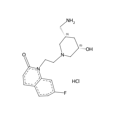 Cl.NC[C@@H]1C[C@H](O)CN(CCn2c(=O)ccc3ccc(F)cc32)C1